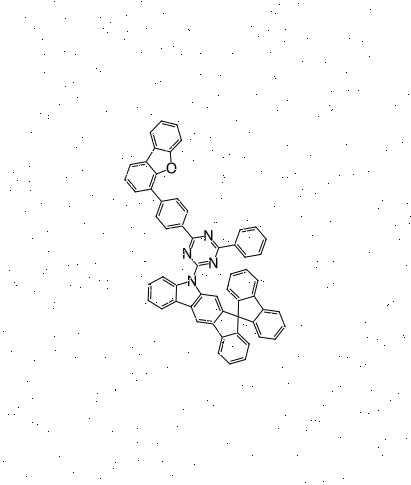 c1ccc(-c2nc(-c3ccc(-c4cccc5c4oc4ccccc45)cc3)nc(-n3c4ccccc4c4cc5c(cc43)C3(c4ccccc4-c4ccccc43)c3ccccc3-5)n2)cc1